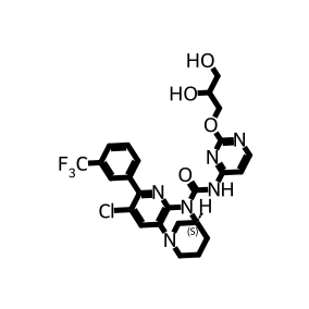 O=C(Nc1ccnc(OCC(O)CO)n1)N1c2nc(-c3cccc(C(F)(F)F)c3)c(Cl)cc2N2CCC[C@H]1C2